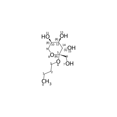 CCCCO[C@]1(CO)OC[C@@H](O)[C@@H](O)[C@@H]1O